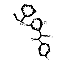 C=CC(Nc1cc(C(N)C(=O)c2ccc(F)cc2)ccn1)c1ccccc1.Cl